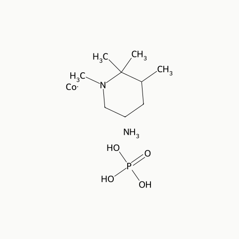 CC1CCCN(C)C1(C)C.N.O=P(O)(O)O.[Co]